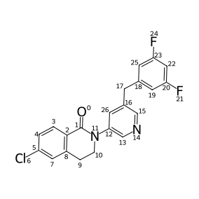 O=C1c2ccc(Cl)cc2CCN1c1cncc(Cc2cc(F)cc(F)c2)c1